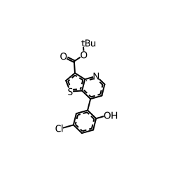 CC(C)(C)OC(=O)c1csc2c(-c3cc(Cl)ccc3O)ccnc12